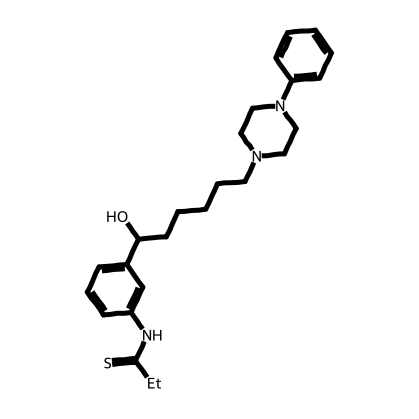 CCC(=S)Nc1cccc(C(O)CCCCCN2CCN(c3ccccc3)CC2)c1